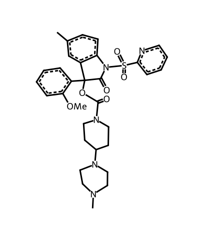 COc1ccccc1C1(OC(=O)N2CCC(N3CCN(C)CC3)CC2)C(=O)N(S(=O)(=O)c2ccccn2)c2ccc(C)cc21